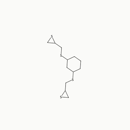 C1CC(SCC2CS2)CC(SCC2CS2)C1